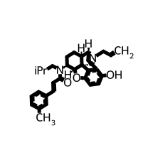 C=CCN1CC[C@@]23c4c5ccc(O)c4C[C@@H]1[C@@H]2CC[C@H](N(CC(C)C)C(=O)C=Cc1cccc(C)c1)[C@@H]3O5